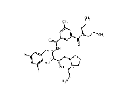 CCCN(CCC)C(=O)c1cc(C)cc(C(=O)N[C@@H](Cc2cc(F)cc(F)c2)[C@@H](O)[C@H](O)CN2CCC[C@H]2COC)c1